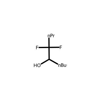 CCC[CH]C(O)C(F)(F)CCC